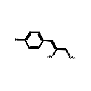 CCC/C(=C\c1ccc(F)cc1)COC(C)=O